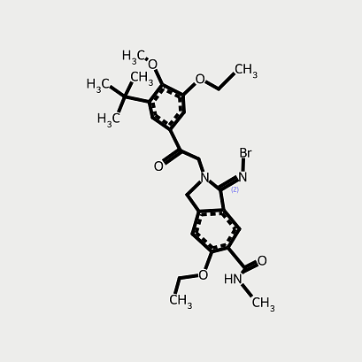 CCOc1cc2c(cc1C(=O)NC)/C(=N/Br)N(CC(=O)c1cc(OCC)c(OC)c(C(C)(C)C)c1)C2